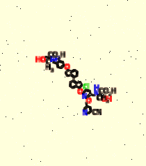 CC(CO)(NCc1ccc(O[C@H]2CCc3c(-c4cccc5c4CC[C@@H]5Oc4nc(OCc5cncc(C#N)c5)c(CN[C@@](C)(CO)C(=O)O)cc4Cl)cccc32)cc1)C(=O)O